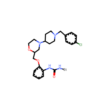 CCNC(=O)Nc1ccccc1OCC1CN(C2CCN(Cc3ccc(Cl)cc3)CC2)CCO1